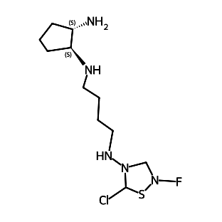 N[C@H]1CCC[C@@H]1NCCCCNN1CN(F)SC1Cl